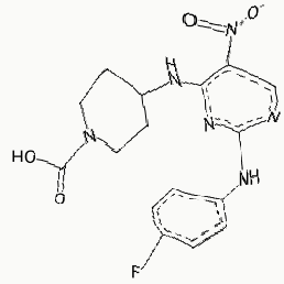 O=C(O)N1CCC(Nc2nc(Nc3ccc(F)cc3)ncc2[N+](=O)[O-])CC1